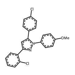 COc1ccc(-n2nc(-c3[c]cccc3Cl)cc2-c2ccc(Cl)cc2)cc1